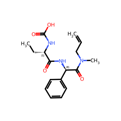 C=CCN(C)C(=O)[C@H](NC(=O)[C@H](CC)NC(=O)O)c1ccccc1